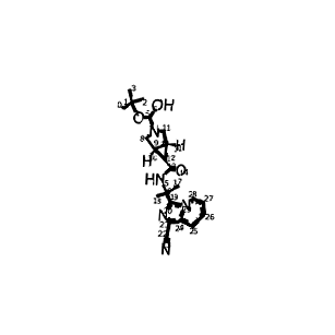 CC(C)(C)OC(O)N1C[C@@H]2[C@H](C1)[C@H]2C(=O)NC(C)(C)c1nc(C#N)c2ccccn12